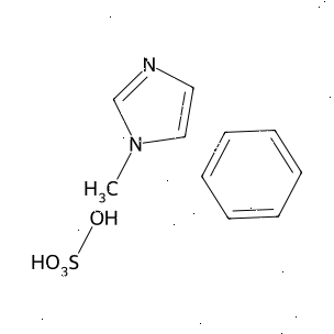 Cn1ccnc1.O=S(=O)(O)O.c1ccccc1